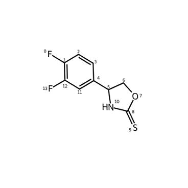 Fc1ccc(C2COC(=S)N2)cc1F